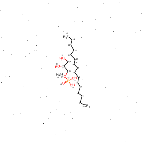 CCCCCCCCCCCCCCCC.O=P(O)(O)OCC(O)CO.[NaH]